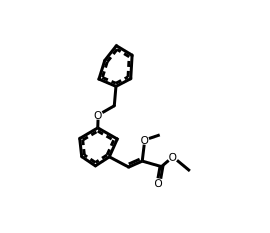 COC(=O)/C(=C/c1cccc(OCc2ccccc2)c1)OC